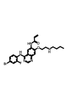 C=CC(=O)Nc1cc2c(Nc3ccc(Br)cc3F)ncnc2cc1OCCNCCCC